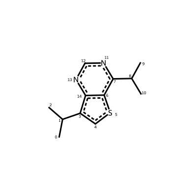 CC(C)c1csc2c(C(C)C)ncnc12